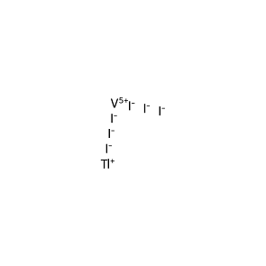 [I-].[I-].[I-].[I-].[I-].[I-].[Tl+].[V+5]